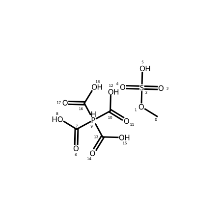 COS(=O)(=O)O.O=C(O)[PH](C(=O)O)(C(=O)O)C(=O)O